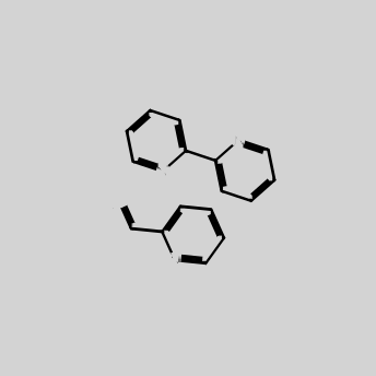 C=Cc1ccccn1.c1ccc(-c2ccccn2)nc1